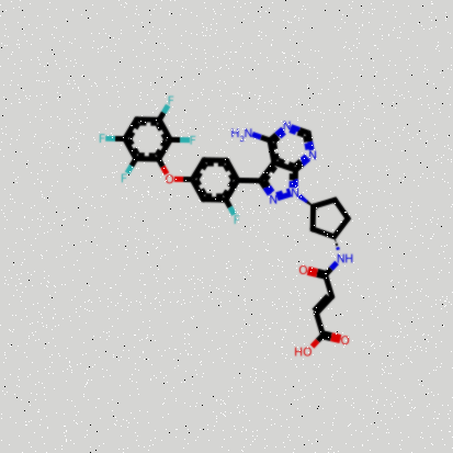 Nc1ncnc2c1c(-c1ccc(Oc3c(F)c(F)cc(F)c3F)cc1F)nn2[C@H]1CC[C@H](NC(=O)C=CC(=O)O)C1